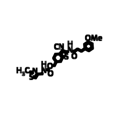 COc1cccc(CCC(=O)Nc2sc3c(c2C#N)CCC(COC(=O)NCc2csc(C)n2)C3)c1